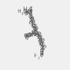 C=CC(=O)CC(COC(=O)C=C)COc1ccc(OC(=O)C2CCC(C(=O)Oc3ccc(OC(=O)C4CCC(C(=O)Oc5ccc(C(=O)OCOCOCC)cc5)CC4)c4nc(-c5ccc([N+](=O)[O-])cc5)sc34)CC2)cc1